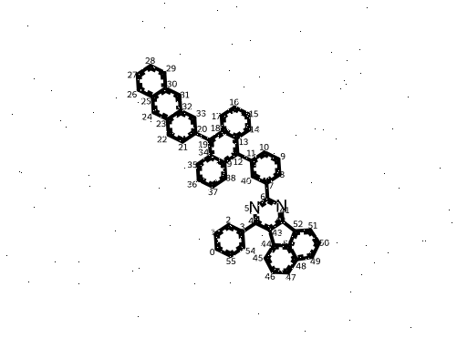 c1ccc(-c2nc(-c3cccc(-c4c5ccccc5c(-c5ccc6cc7ccccc7cc6c5)c5ccccc45)c3)nc3c2-c2cccc4cccc-3c24)cc1